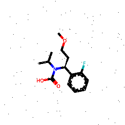 COCC[C@@H](c1ccccc1F)N(C(=O)O)C(C)C